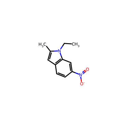 CCn1c(C)cc2ccc([N+](=O)[O-])cc21